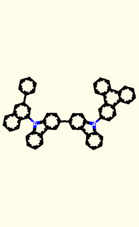 c1ccc(-c2cc(-n3c4ccccc4c4cc(-c5ccc6c(c5)c5ccccc5n6-c5ccc6c7ccccc7c7ccccc7c6c5)ccc43)c3ccccc3c2)cc1